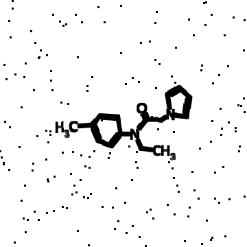 CCN(C(=O)Cn1cccc1)c1ccc(C)cc1